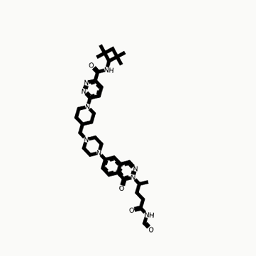 CC(CCC(=O)NC=O)n1ncc2cc(N3CCN(CC4CCN(c5ccc(C(=O)NC6C(C)(C)CC6(C)C)nn5)CC4)CC3)ccc2c1=O